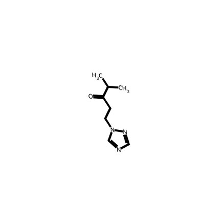 CC(C)C(=O)CCn1cncn1